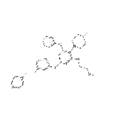 COCCOc1nc(Sc2cccc(CCc3ccccc3)c2)cc(Oc2ccccc2)c1N1CCN(C)CC1